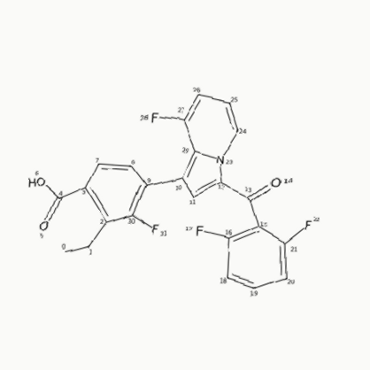 CCc1c(C(=O)O)ccc(-c2cc(C(=O)c3c(F)cccc3F)n3cccc(F)c23)c1F